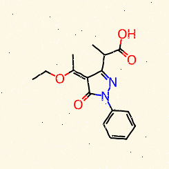 CCOC(C)=C1C(=O)N(c2ccccc2)N=C1C(C)C(=O)O